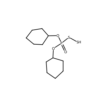 O=P(OC1CCCCC1)(OC1CCCCC1)SS